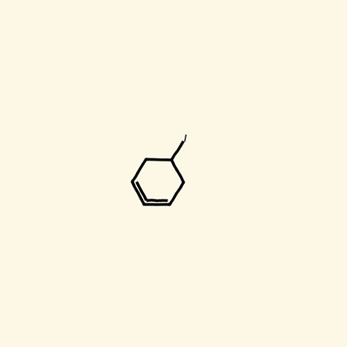 IC1CC=C=CC1